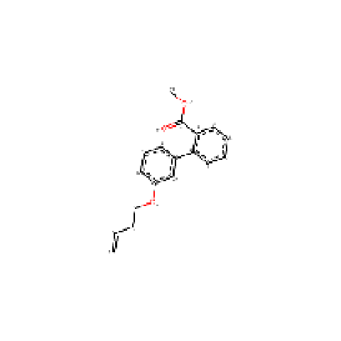 C=CCCOc1cccc(-c2ccccc2C(=O)OC)c1